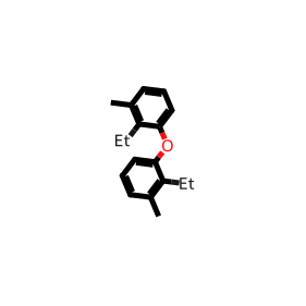 CCc1c(C)cccc1Oc1cccc(C)c1CC